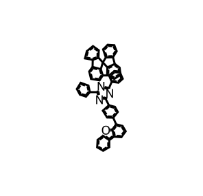 c1ccc(-c2nc(-c3ccc(-c4cccc5c4oc4ccccc45)cc3)nc(-c3ccccc3-c3cccc4c3C3(c5ccccc5-c5ccccc53)c3ccccc3-4)n2)cc1